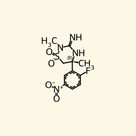 CN1C(=N)N[C@](C)(c2cc([N+](=O)[O-])ccc2F)CS1(=O)=O